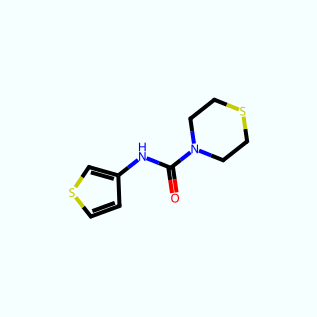 O=C(Nc1ccsc1)N1CCSCC1